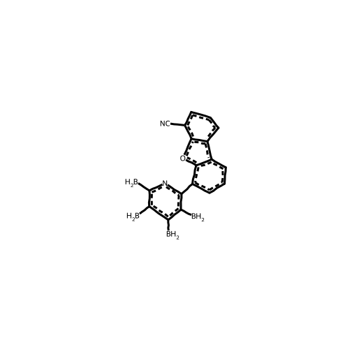 Bc1nc(-c2cccc3c2oc2c(C#N)cccc23)c(B)c(B)c1B